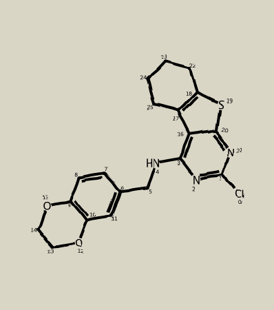 Clc1nc(NCc2ccc3c(c2)OCCO3)c2c3c(sc2n1)CCCC3